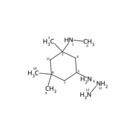 CNC1(C)CC(N)CC(C)(C)C1.NN